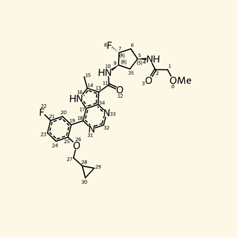 COCC(=O)N[C@@H]1C[C@@H](F)[C@H](NC(=O)c2c(C)[nH]c3c(-c4cc(F)ccc4OCC4CC4)ncnc23)C1